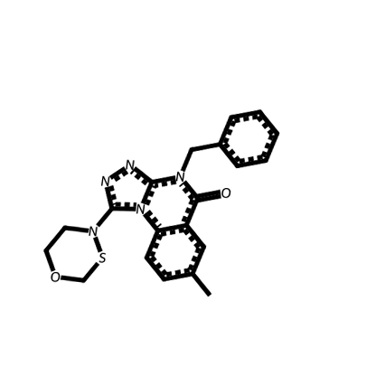 Cc1ccc2c(c1)c(=O)n(Cc1ccccc1)c1nnc(N3CCOCS3)n21